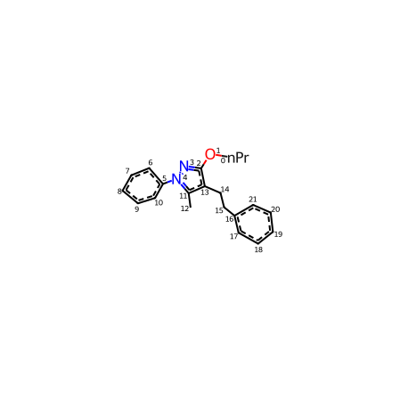 CCCOc1nn(-c2ccccc2)c(C)c1CCc1ccccc1